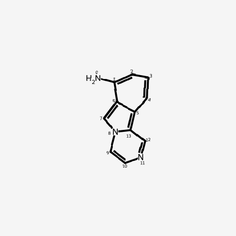 Nc1cccc2c1cn1ccncc21